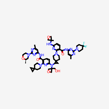 Cc1cc(NC(=O)c2ccc(NC3(C)COC3)nc2N2CCC3(CC2)CC3N(c2ccc(C(=O)Nc3cc(C)nc(N4CCO[C@H](C)C4)n3)c(N3CCC4(CC3)CC4)n2)C2(CO)COC2)nc(N2CCC(F)(F)CC2)n1